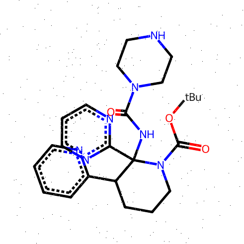 CC(C)(C)OC(=O)N1CCCC(c2ccccn2)C1(NC(=O)N1CCNCC1)c1ncccn1